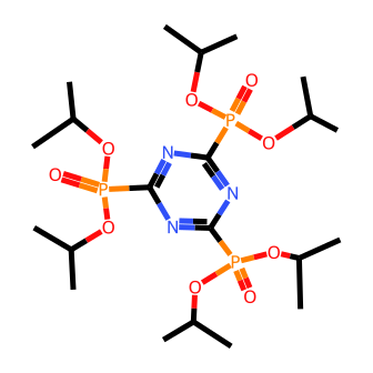 CC(C)OP(=O)(OC(C)C)c1nc(P(=O)(OC(C)C)OC(C)C)nc(P(=O)(OC(C)C)OC(C)C)n1